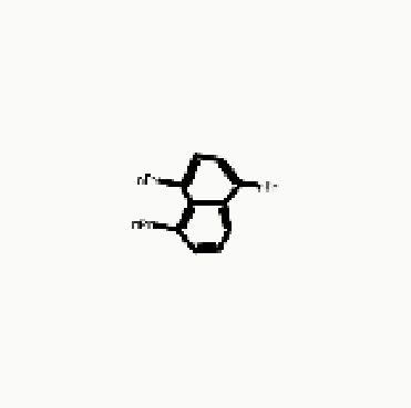 CCCc1ccc(CCC)c2c(CCC)cccc12